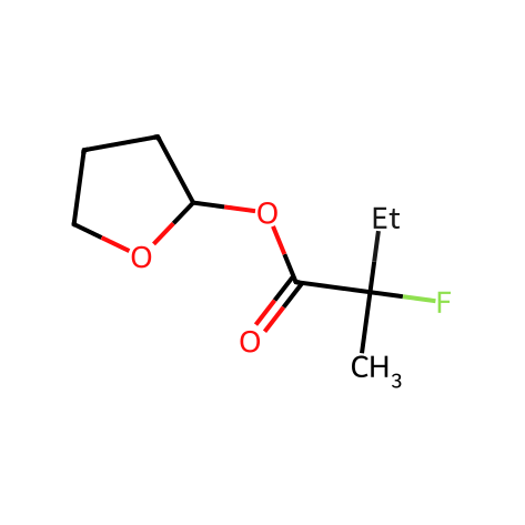 CCC(C)(F)C(=O)OC1CCCO1